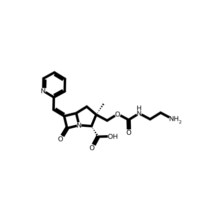 C[C@@]1(COC(=O)NCCN)CC2/C(=C\c3ccccn3)C(=O)N2[C@H]1C(=O)O